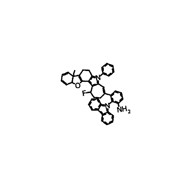 CC12C=CC=CC1OC1=C2CCc2c1c1c(n2-c2ccccc2)C=C(c2cccc(N)c2-n2c3ccccc3c3ccccc32)CCC1F